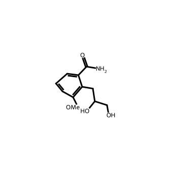 COc1cccc(C(N)=O)c1CC(O)CO